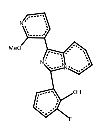 COc1ncccc1-c1nc(-c2cccc(F)c2O)n2ccccc12